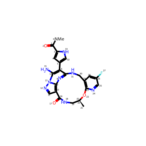 CNC(=O)c1cc(-c2c3nc4c(cnn4c2N)C(=O)NC[C@H](C)Oc2ncc(F)cc2CN3)c[nH]1